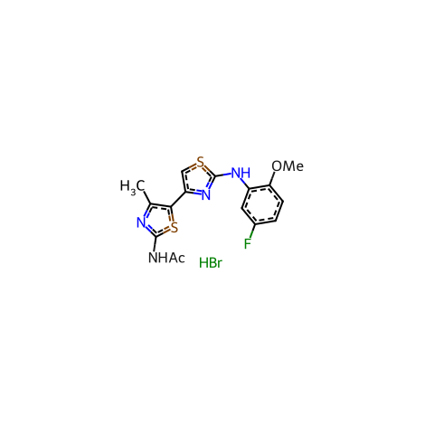 Br.COc1ccc(F)cc1Nc1nc(-c2sc(NC(C)=O)nc2C)cs1